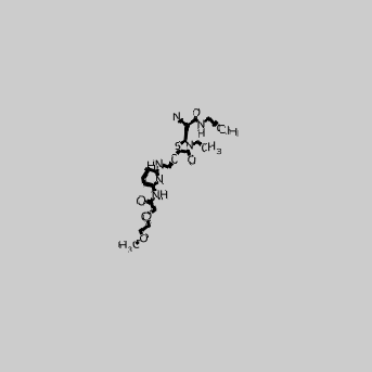 C#CCNC(=O)C(=C=c1sc(=C=CNc2cccc(NC(=O)COCCOC)n2)c(=O)n1CC)C#N